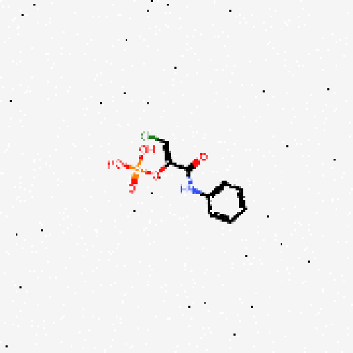 O=C(Nc1ccccc1)C(=CCl)OP(=O)(O)O